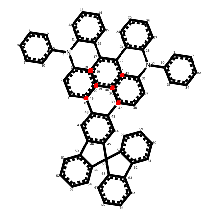 c1ccc(N(c2ccccc2)c2ccccc2-c2cc3c(cc2-c2ccccc2N(c2ccccc2)c2ccccc2)Oc2cc4c(cc2O3)-c2ccccc2C42c3ccccc3-c3ccccc32)cc1